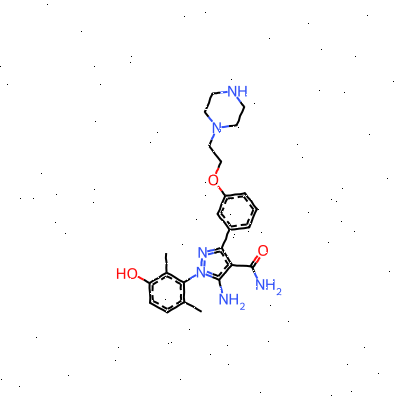 Cc1ccc(O)c(C)c1-n1nc(-c2cccc(OCCN3CCNCC3)c2)c(C(N)=O)c1N